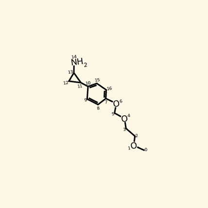 COCCOCOc1ccc(C2CC2N)cc1